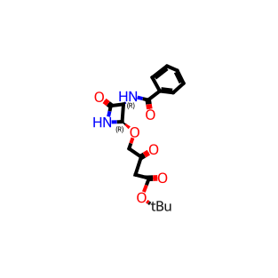 CC(C)(C)OC(=O)CC(=O)CO[C@H]1NC(=O)[C@@H]1NC(=O)c1ccccc1